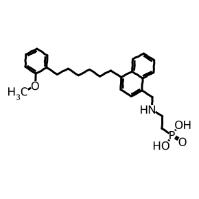 COc1ccccc1CCCCCCc1ccc(CNCCP(=O)(O)O)c2ccccc12